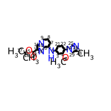 COc1cc(Nc2cccn3cc(C(=O)OC(C)C)nc23)ccc1-n1cnc(C)c1